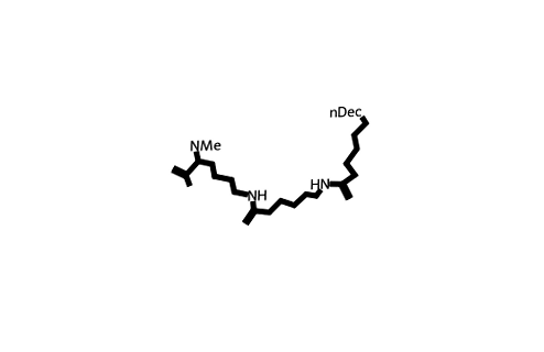 C=C(CCCCCCCCCCCCCCC)NCCCCCC(=C)NCCCCC(NC)C(=C)C